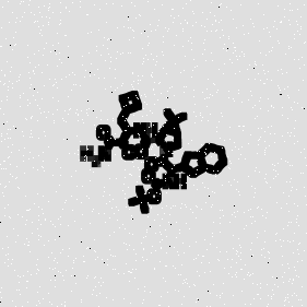 CC(C)(C)OC(=O)NC(C(=O)N1CC2C([C@H]1C(=O)NC(CC1CCC1)C(=O)C(N)=O)C2(C)C)C1CC2CCCCC2C1